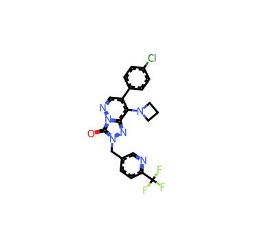 O=c1n(Cc2ccc(C(F)(F)F)nc2)nc2c(N3CCC3)c(-c3ccc(Cl)cc3)cnn12